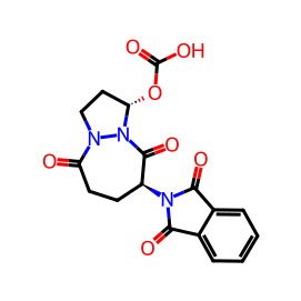 O=C(O)O[C@H]1CCN2C(=O)CC[C@H](N3C(=O)c4ccccc4C3=O)C(=O)N12